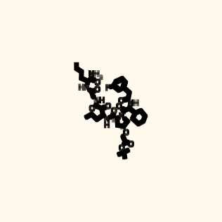 CCCCC(NC(=O)CNC(=O)C(=O)C(CCC)NC(=O)[C@@H]1C[C@@H](OCC(=O)OC(C)(C)C)CN1C(=O)C(NC(=O)Cc1cccc(F)c1)C1CCCCC1)C(N)=O